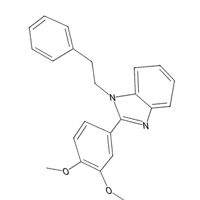 COc1ccc(-c2nc3ccccc3n2CCc2ccccc2)cc1OC